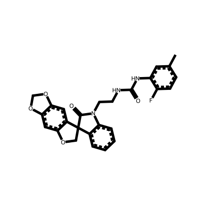 Cc1ccc(F)c(NC(=O)NCCN2C(=O)C3(COc4cc5c(cc43)OCO5)c3ccccc32)c1